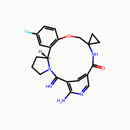 N=C1c2cc(cnc2N)C(=O)NC2(CC2)COc2ccc(F)cc2[C@H]2CCCN12